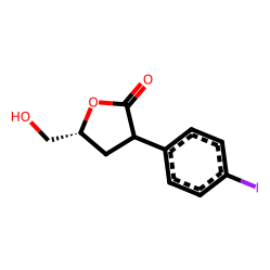 O=C1O[C@@H](CO)CC1c1ccc(I)cc1